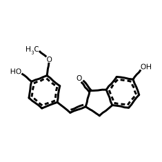 COc1cc(C=C2Cc3ccc(O)cc3C2=O)ccc1O